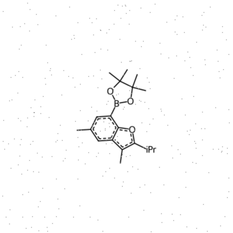 Cc1cc(B2OC(C)(C)C(C)(C)O2)c2oc(C(C)C)c(C)c2c1